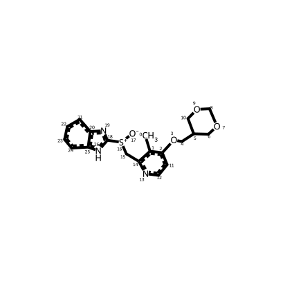 Cc1c(OCC2COCOC2)ccnc1C[S+]([O-])c1nc2ccccc2[nH]1